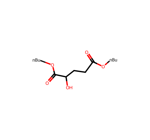 CCCCOC(=O)CCC(O)C(=O)OCCCC